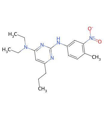 CCCc1cc(N(CC)CC)nc(Nc2ccc(C)c([N+](=O)[O-])c2)n1